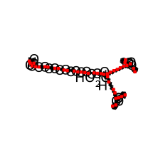 O=C(CCOCCOCCOCCOCCOCCOCCOCCOCCOCCOCCOCCOCCNC(=O)C(CCCCCCCCCCCCCCP(=O)(OCc1ccccc1)OCc1ccccc1)(CCCCCCCCCCCCCCP(=O)(OCc1ccccc1)OCc1ccccc1)C(=O)O)ON1C(=O)CCC1=O